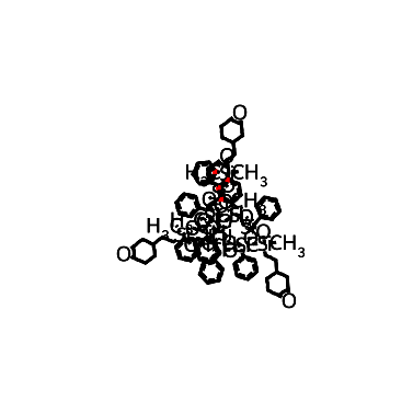 CO[Si](O[Si](C)(C)CCC1CCC2OC2C1)(O[Si]1(c2ccccc2)O[Si](O[Si](C)(C)CCC2CCC3OC3C2)(c2ccccc2)O[SiH](c2ccccc2)O[Si]2(c3ccccc3)O[Si](O[Si](C)(C)CCC3CCC4OC4C3)(c3ccccc3)O[Si](c3ccccc3)(O[Si](O[Si](C)(C)CCC3CCC4OC4C3)(c3ccccc3)O2)O1)c1ccccc1